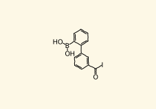 O=C(I)c1cccc(-c2ccccc2B(O)O)c1